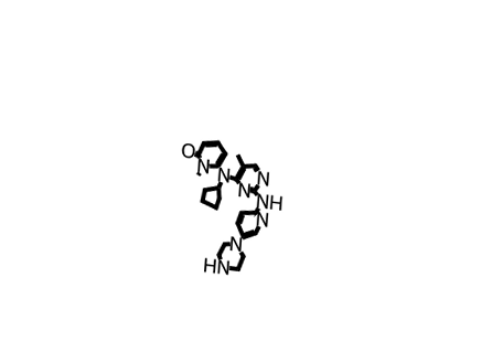 Cc1cnc(Nc2ccc(N3CCNCC3)cn2)nc1N(c1cccc(=O)n1C)C1CCCC1